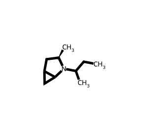 CCC(C)N1C2CC2C[C@H]1C